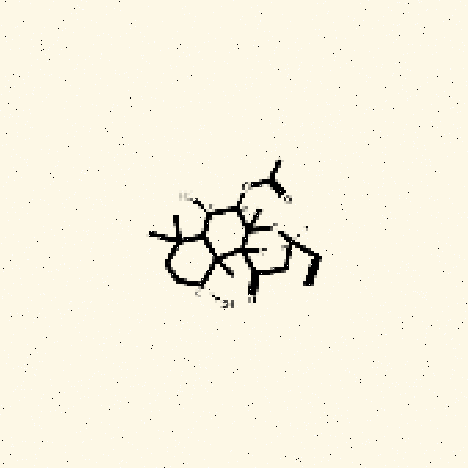 C=C[C@@]1(C)CC(=O)C2(O)C(C)(O1)[C@H](OC(C)=O)[C@H](O)C1C(C)(C)CC[C@@H](O)C12C